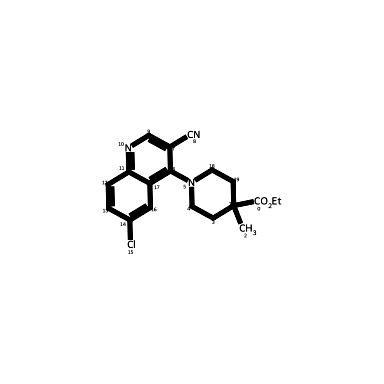 CCOC(=O)C1(C)CCN(c2c(C#N)cnc3ccc(Cl)cc23)CC1